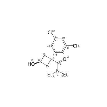 CCN(CC)C(=O)[C@]1(c2cc(Cl)cc(Cl)c2)C[C@H](O)C1